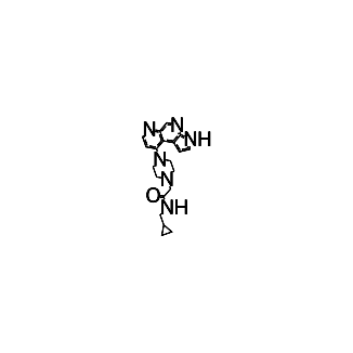 O=C(CN1CCN(c2ccnc3cnc4[nH]ccc4c23)CC1)NCC1CC1